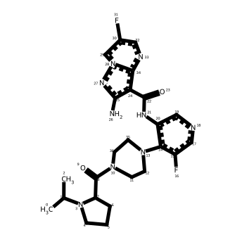 CC(C)N1CCCC1C(=O)N1CCN(c2c(F)cncc2NC(=O)c2c(N)nn3cc(F)cnc23)CC1